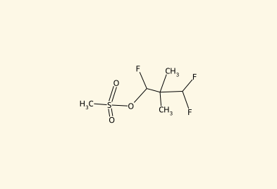 CC(C)(C(F)F)C(F)OS(C)(=O)=O